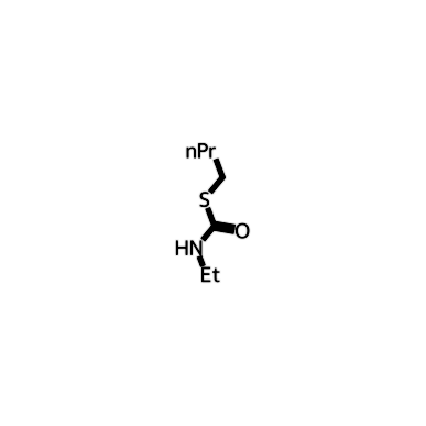 CCCCSC(=O)NCC